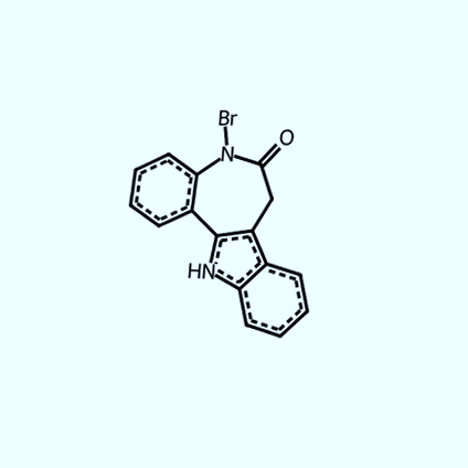 O=C1Cc2c([nH]c3ccccc23)-c2ccccc2N1Br